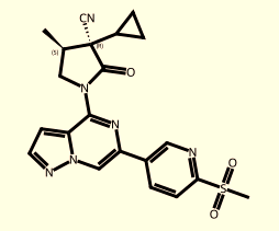 C[C@@H]1CN(c2nc(-c3ccc(S(C)(=O)=O)nc3)cn3nccc23)C(=O)[C@]1(C#N)C1CC1